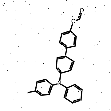 Cc1ccc(N(c2ccccc2)c2ccc(-c3ccc(OC=O)cc3)cc2)cc1